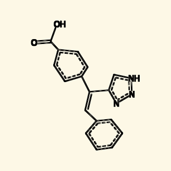 O=C(O)c1ccc(C(=Cc2ccccc2)c2c[nH]nn2)cc1